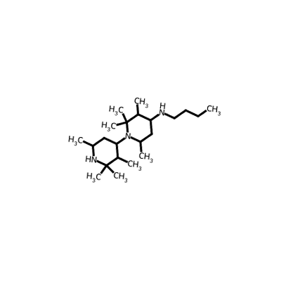 CCCCNC1CC(C)N(C2CC(C)NC(C)(C)C2C)C(C)(C)C1C